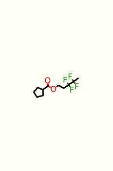 CC(F)(F)C(F)(F)CCOC(=O)C1CCCC1